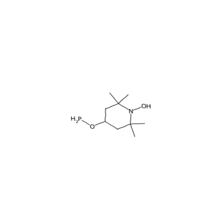 CC1(C)CC(OP)CC(C)(C)N1O